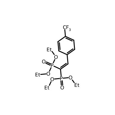 CCOP(=O)(OCC)C(=Cc1ccc(C(F)(F)F)cc1)P(=O)(OCC)OCC